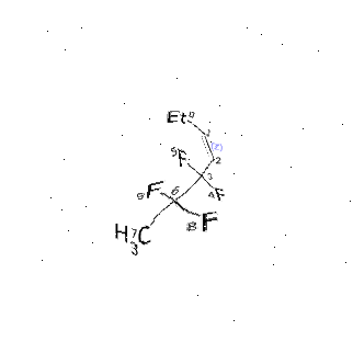 CC/C=C\C(F)(F)C(C)(F)F